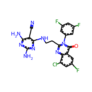 N#Cc1c(N)nc(N)nc1NCCc1nc2c(Cl)cc(F)cc2c(=O)n1-c1cc(F)cc(F)c1